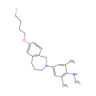 CNc1c(C)cc(N2CCCc3cc(OCCCCF)ccc3C2)cc1C